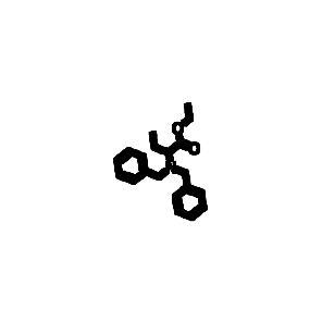 CCOC(=O)C(CC)N(Cc1ccccc1)Cc1ccccc1